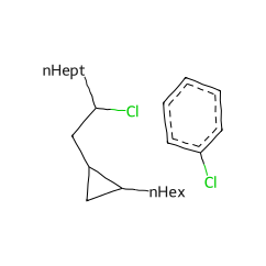 CCCCCCCC(Cl)CC1CC1CCCCCC.Clc1ccccc1